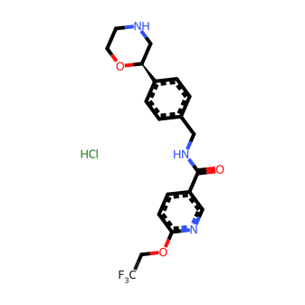 Cl.O=C(NCc1ccc([C@@H]2CNCCO2)cc1)c1ccc(OCC(F)(F)F)nc1